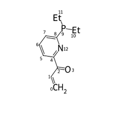 C=CC(=O)c1cccc(P(CC)CC)n1